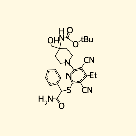 CCc1c(C#N)c(SC(C(N)=O)c2ccccc2)nc(N2CCC(CO)(NC(=O)OC(C)(C)C)CC2)c1C#N